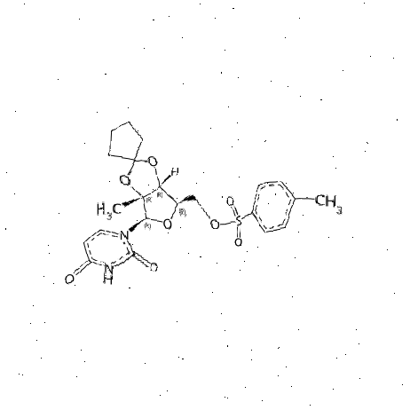 Cc1ccc(S(=O)(=O)OC[C@H]2O[C@@H](n3ccc(=O)[nH]c3=O)[C@]3(C)OC4(CCCC4)O[C@H]23)cc1